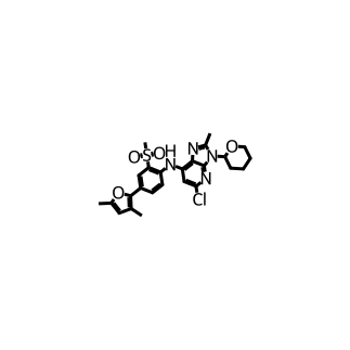 Cc1cc(C)c(-c2ccc(Nc3cc(Cl)nc4c3nc(C)n4C3CCCCO3)c(S(C)(=O)=O)c2)o1